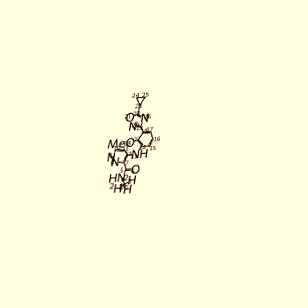 [2H]C([2H])([2H])NC(=O)c1nnccc1Nc1cccc(-c2noc(C3CC3)n2)c1OC